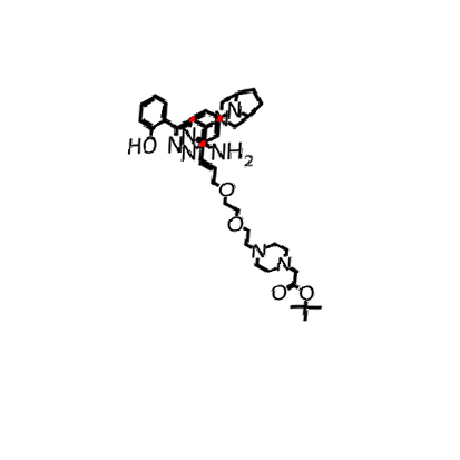 CC(C)(C)OC(=O)CN1CCN(CCOCCOC/C=C/c2cc(N3C4CCC3CN(c3cc(-c5ccccc5O)nnc3N)C4)ccn2)CC1